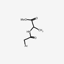 COC(=O)C(C)NC(=O)CC(C)=O